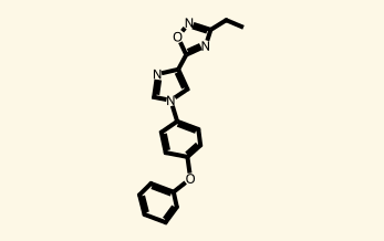 CCc1noc(-c2cn(-c3ccc(Oc4ccccc4)cc3)cn2)n1